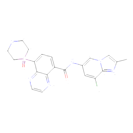 Cc1cn2cc(NC(=O)c3ccc(P4(=O)CCNCC4)c4nccnc34)cc(F)c2n1